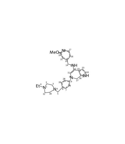 CCN1CCN(Cc2ccc(N3C=C(NCc4ccnc(OC)c4)c4cc[nH]c4C3)cc2)CC1